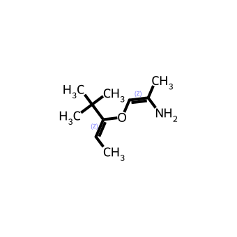 C/C=C(\O/C=C(/C)N)C(C)(C)C